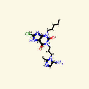 CCCCCn1c(=O)n(CCCn2c(N)cnc2C)c(=O)c2[nH]c(Cl)nc21